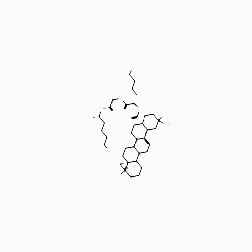 CC(C)[C@H](NC(=O)[C@H](CCCCN)NC(=O)[C@]12CCC(C)(C)C[C@H]1C1=CC[C@@H]3[C@@]4(C)CC[C@H](O)C5(C)C[C@]54CC[C@@]3(C)[C@]1(C)CC2)C(=O)N[C@@H](CCCCN)C(=O)O